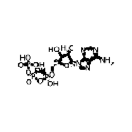 CC1C(O)[C@@H](COP(=O)(O)OP(=O)(O)OP(=O)(O)O)O[C@H]1n1cnc2c(N)ncnc21